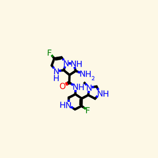 CN1CNCC1C1=C(F)CNCC1NC(=O)C1C(N)NN2C=C(F)CNC12